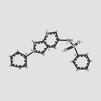 O=S(=O)(Nc1cnc2nn(-c3ccccc3)cc2c1)c1ccccc1